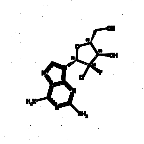 Nc1nc(N)c2ncn([C@@H]3O[C@H](CO)[C@@H](O)[C@]3(F)Cl)c2n1